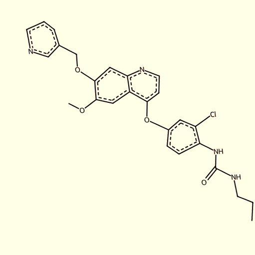 CCCNC(=O)Nc1ccc(Oc2ccnc3cc(OCc4cccnc4)c(OC)cc23)cc1Cl